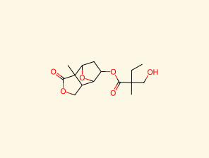 CCC(C)(CO)C(=O)OC1CC2OC1C1COC(=O)C21C